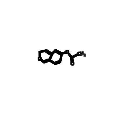 CC(=O)Oc1ccc2c(c1)=CCOC=2